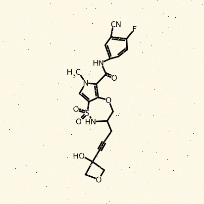 Cn1cc2c(c1C(=O)Nc1ccc(F)c(C#N)c1)OCC(CC#CC1(O)COC1)NS2(=O)=O